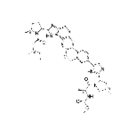 CC[C@H](C)CC(=O)N1C(c2nc3ccc4cc5c(cc4c3[nH]2)OCc2cc(-c3cnc(C4C[C@H](C)CN4C(=O)[C@H](C)NC(=O)OC)[nH]3)ccc2-5)CC[C@@H]1C